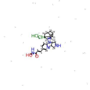 Cl.Cl.O=C(/C=C/c1ccc(N[C@]2(CC34CC5CC(CC(C5)C3)C4)CCNC2)nc1)NO